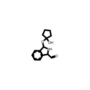 O=CC1NC(OC2(O)CCCC2)c2ccccc21